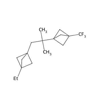 CCC12CC(CC(C)(C)C34CC(C(F)(F)F)(C3)C4)(C1)C2